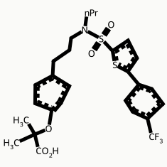 CCCN(CCCc1ccc(OC(C)(C)C(=O)O)cc1)S(=O)(=O)c1ccc(-c2ccc(C(F)(F)F)cc2)s1